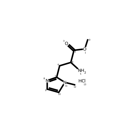 COC(=O)C(N)Cc1nccn1C.Cl